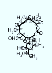 CC[C@H]1OC(=O)C[C@@H](O)[C@H](C)[C@@H](OC2OC(C)CC(N(C)C)C2O)[C@@H](CC=O)C[C@@H](C)C(=O)/C=C/[C@]2(C)O[C@H]2[C@@H]1C